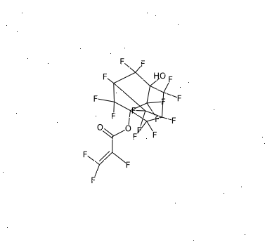 O=C(OC12C(F)(F)C3(O)C(F)(F)C(F)(C(F)(F)C(F)(C3(F)F)C1(F)F)C2(F)F)C(F)=C(F)F